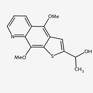 COc1c2cccnc2c(OC)c2sc(C(C)O)cc12